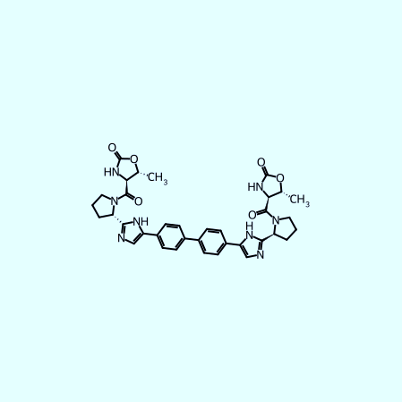 C[C@H]1OC(=O)N[C@@H]1C(=O)N1CCC[C@H]1c1ncc(-c2ccc(-c3ccc(-c4cnc([C@@H]5CCCN5C(=O)[C@H]5NC(=O)O[C@@H]5C)[nH]4)cc3)cc2)[nH]1